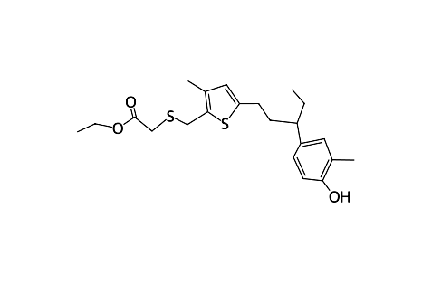 CCOC(=O)CSCc1sc(CCC(CC)c2ccc(O)c(C)c2)cc1C